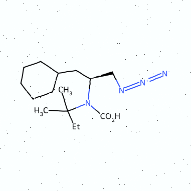 CCC(C)(C)N(C(=O)O)[C@H](CN=[N+]=[N-])CC1CCCCC1